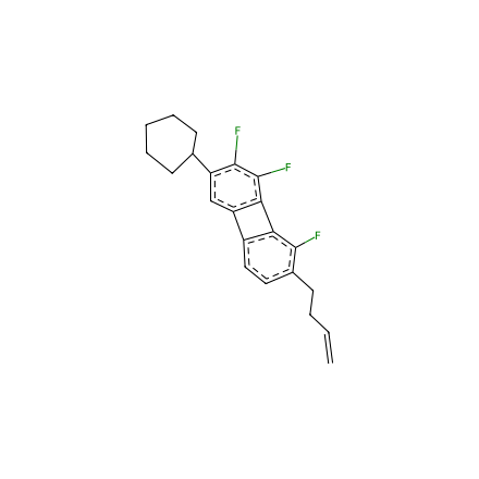 C=CCCc1ccc2c(c1F)-c1c-2cc(C2CCCCC2)c(F)c1F